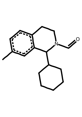 Cc1ccc2c(c1)C(C1CCCCC1)N(C=O)CC2